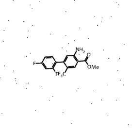 COC(=O)c1cc(C(F)(F)F)c(-c2ccc(F)cc2F)cc1N